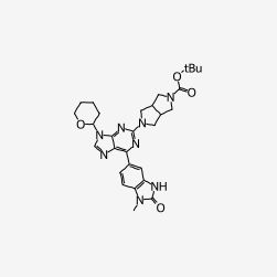 Cn1c(=O)[nH]c2cc(-c3nc(N4CC5CN(C(=O)OC(C)(C)C)CC5C4)nc4c3ncn4C3CCCCO3)ccc21